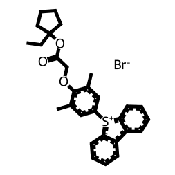 CCC1(OC(=O)COc2c(C)cc(-[s+]3c4ccccc4c4ccccc43)cc2C)CCCC1.[Br-]